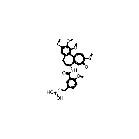 COc1ccc(CON(O)O)cc1C(=O)N[C@H]1CCc2cc(OC)c(OC)c(OC)c2-c2ccc(SC)c(=O)cc21